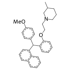 COc1ccc(C(c2ccccc2OCCN2CCCC(C)C2)c2cccc3ccccc23)cc1